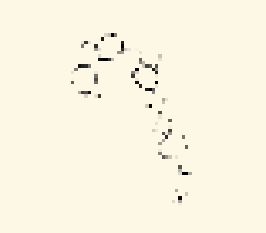 Cc1cc(S(=O)(=O)C2CC3(CCN(C(=O)OC(C)(C)C)CC3)C2)ccc1Nc1ncc(C(F)(F)F)c(N2CCCC(C)(O)C2)n1